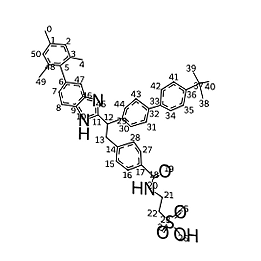 Cc1cc(C)c(-c2ccc3[nH]c(C(Cc4ccc(C(=O)NCCS(=O)(=O)O)cc4)c4ccc(-c5ccc(C(C)(C)C)cc5)cc4)nc3c2)c(C)c1